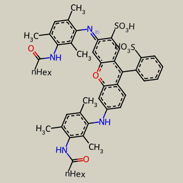 CCCCCCC(=O)Nc1c(C)cc(C)c(/N=c2\cc3oc4cc(Nc5c(C)cc(C)c(NC(=O)CCCCCC)c5C)ccc4c(-c4ccccc4S(=O)(=O)O)c-3cc2S(=O)(=O)O)c1C